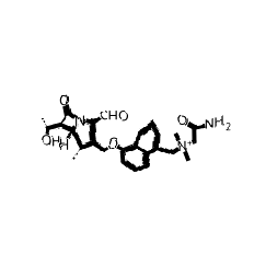 C[C@@H](O)[C@H]1C(=O)N2C(C=O)=C(COc3cccc4c(C[N+](C)(C)CC(N)=O)cccc34)[C@H](C)[C@H]12